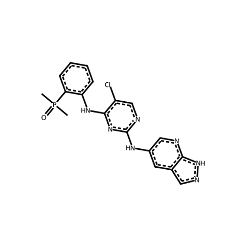 CP(C)(=O)c1ccccc1Nc1nc(Nc2cnc3[nH]ncc3c2)ncc1Cl